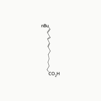 CCCC/C=C/C=C/C=C/CCCCCCC(=O)O